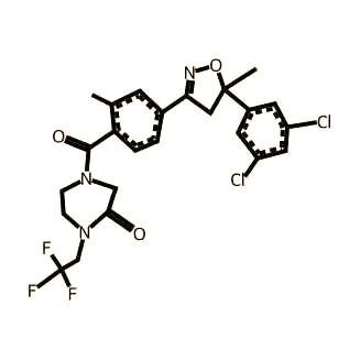 Cc1cc(C2=NOC(C)(c3cc(Cl)cc(Cl)c3)C2)ccc1C(=O)N1CCN(CC(F)(F)F)C(=O)C1